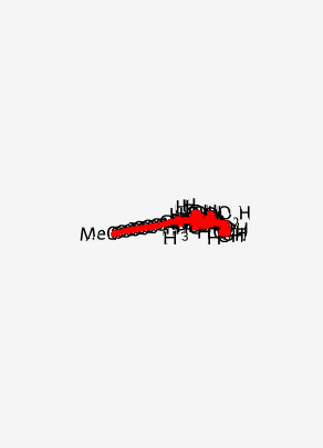 CCCCc1nc2c(NC(=O)OCc3ccc(O[C@H]4O[C@H](CO)[C@@H](O)[C@H](O)[C@@H]4O)cc3)nc3cc(C(=O)O)ccc3c2n1Cc1ccc(C[N+](C)(C)Cc2ccc(O[C@H]3O[C@H](CO)[C@@H](O)[C@H](O)[C@@H]3O)c(NC(=O)CCNC(=O)[C@@H](N)CCCCNC(=O)CCOCCOCCOCCOCCOCCOCCOCCOCCOCCOCCOCCOC)c2)cc1